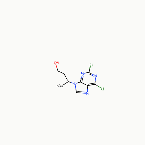 CCCCC(CCO)n1cnc2c(Cl)nc(Cl)nc21